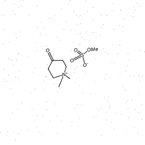 COS(=O)(=O)[O-].C[N+]1(C)CCC(=O)CC1